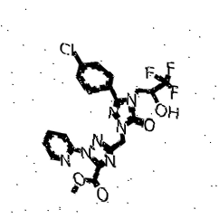 COC(=O)c1nc(Cn2nc(-c3ccc(Cl)cc3)n(CC(O)C(F)(F)F)c2=O)nn1-c1ccccn1